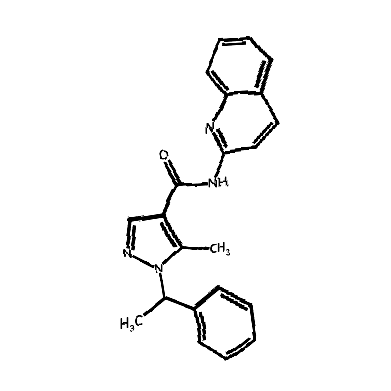 Cc1c(C(=O)Nc2ccc3ccccc3n2)cnn1C(C)c1ccccc1